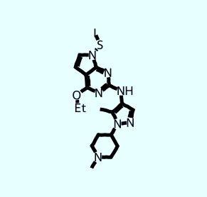 CCOc1nc(Nc2cnn(C3CCN(C)CC3)c2C)nc2c1ccn2SI